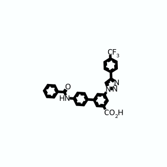 O=C(O)c1cc(-c2ccc(NC(=O)c3ccccc3)cc2)cc(-n2cc(-c3ccc(C(F)(F)F)cc3)nn2)c1